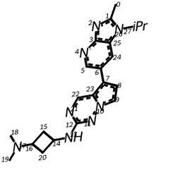 Cc1nc2ncc(-c3ccn4nc(NC5CC(N(C)C)C5)ncc34)cc2n1C(C)C